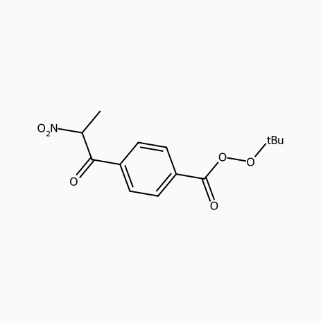 CC(C(=O)c1ccc(C(=O)OOC(C)(C)C)cc1)[N+](=O)[O-]